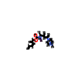 C=C/C=C\C(=C)COC(=O)N(I)[C@@H](C)/C(C)=C/C(=C)N1CCN(C)CC1